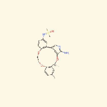 Cc1ccc2c(c1)[C@@H](C)Oc1cc(cnc1N)-c1cc(N=S(C)(C)=O)ccc1OCCO2